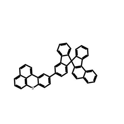 c1ccc2c(c1)-c1cc(-c3ccc4c(c3)-c3cccc5cccc(c35)S4)ccc1C21c2ccccc2-c2c1ccc1ccccc21